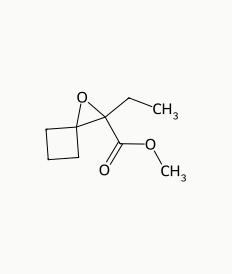 CCC1(C(=O)OC)OC12CCC2